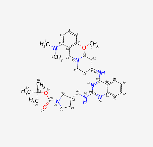 COc1cccc(N(C)C)c1CN1CCC(Nc2nc(NC[C@@H]3CCN(C(=O)OC(C)(C)C)C3)nc3ccccc23)CC1